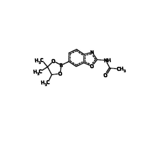 CC(=O)Nc1nc2ccc(B3OC(C)C(C)(C)O3)cc2o1